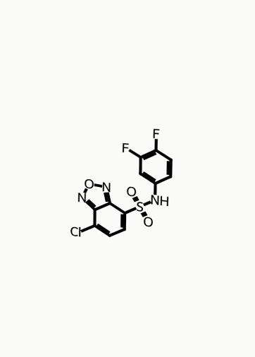 O=S(=O)(Nc1ccc(F)c(F)c1)c1ccc(Cl)c2nonc12